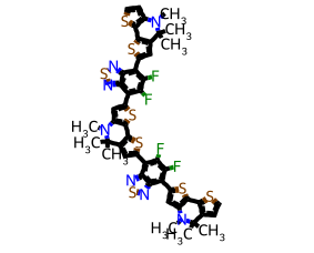 CN1c2cc(-c3c(F)c(F)c(-c4cc5c(s4)-c4sc(-c6c(F)c(F)c(-c7cc8c(s7)-c7sccc7N(C)C8(C)C)c7nsnc67)cc4N(C)C5(C)C)c4nsnc34)sc2-c2sccc2C1(C)C